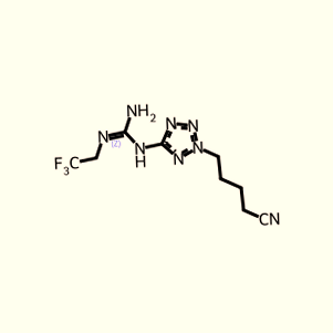 N#CCCCCn1nnc(N/C(N)=N\CC(F)(F)F)n1